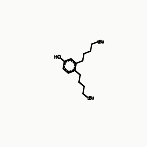 CC(C)(C)CCCCc1ccc(O)cc1CCCCC(C)(C)C